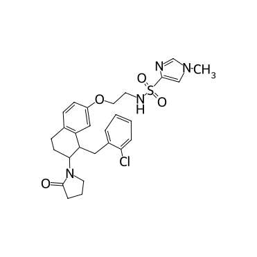 Cn1cnc(S(=O)(=O)NCCOc2ccc3c(c2)C(Cc2ccccc2Cl)C(N2CCCC2=O)CC3)c1